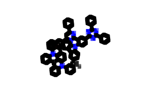 Cc1ccc2c(c1)c1cc(C)ccc1n2-c1ccc(-c2nc(-c3ccccc3)nc(-c3ccccc3)n2)cc1-c1nc(-c2ccccc2)cc(-c2cccc(-c3ccc4c5c3N(c3ccccc3)c3ccccc3B5c3ccccc3N4c3ccccc3)c2)n1